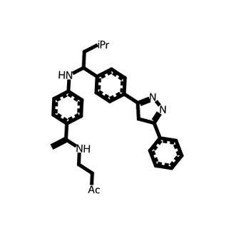 C=C(NCCC(C)=O)c1ccc(NC(CC(C)C)c2ccc(C3=NN=C(c4ccccc4)C3)cc2)cc1